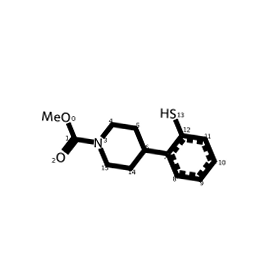 COC(=O)N1CCC(c2ccccc2S)CC1